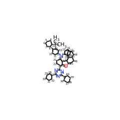 CC1(C)c2ccccc2-c2ccc(N(c3ccccc3)c3ccc(-c4nc(-c5ccccc5)nc(-c5ccccc5)n4)c4oc5ccc6ccccc6c5c34)cc21